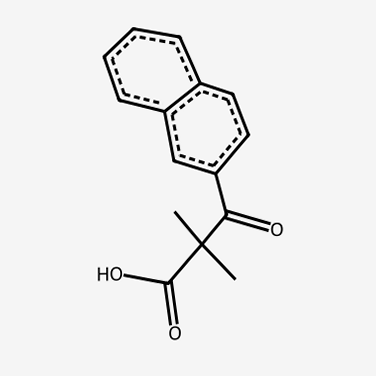 CC(C)(C(=O)O)C(=O)c1ccc2ccccc2c1